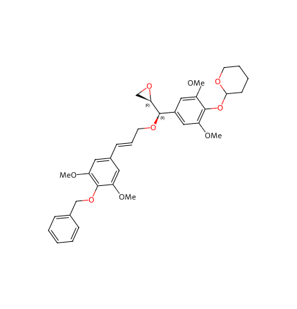 COc1cc(C=CCO[C@H](c2cc(OC)c(OC3CCCCO3)c(OC)c2)[C@H]2CO2)cc(OC)c1OCc1ccccc1